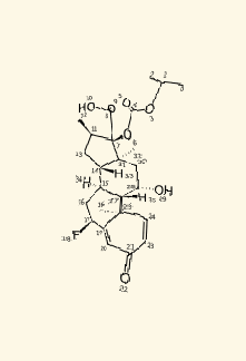 CC(C)OC(=O)O[C@]1(C(=O)O)[C@H](C)C[C@H]2[C@@H]3C[C@H](F)C4=CC(=O)C=C[C@]4(C)[C@H]3[C@@H](O)C[C@@]21C